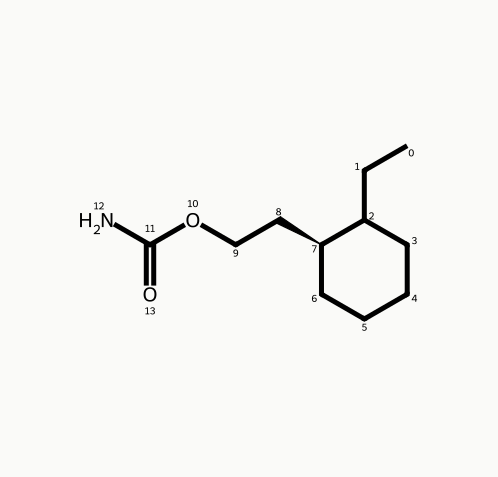 CCC1CCCC[C@H]1CCOC(N)=O